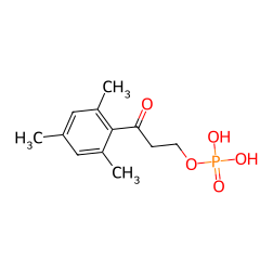 Cc1cc(C)c(C(=O)CCOP(=O)(O)O)c(C)c1